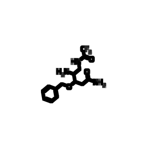 NC(=O)CC(OCc1ccccc1)C(N)CNC(=O)C(F)(F)F